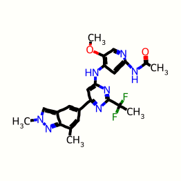 COc1cnc(NC(C)=O)cc1Nc1cc(-c2cc(C)c3nn(C)cc3c2)nc(C(C)(F)F)n1